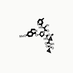 C=C[C@@H]1C[C@]1(NC(=O)[C@@H]1C[C@@H](Oc2nccc3cc(OC)ccc23)CN1C(=O)C(Nc1cc(C)ccn1)C(C)C)C(=O)NS(=O)(=O)C1CC1